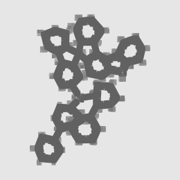 c1ccc(-c2ccc(N(c3ccc4c(c3)C3(c5ccccc5-4)c4ccccc4-c4c3ccc3oc5ccccc5c43)c3ccccc3-c3ccccc3)cc2)cc1